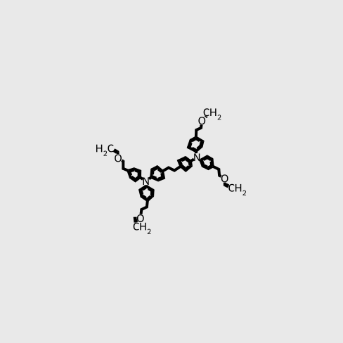 C=COCCc1ccc(N(c2ccc(CCOC=C)cc2)c2ccc(CCc3ccc(N(c4ccc(CCOC=C)cc4)c4ccc(CCOC=C)cc4)cc3)cc2)cc1